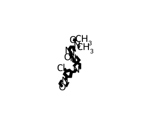 CC(=O)N(C)c1cnn(C(=O)N2CCC3(CCN(Cc4cc(Cl)cc(N5CCOCC5)c4)C3)C2)c1